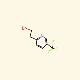 FC(F)(F)c1ccc(CCBr)nc1